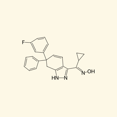 O/N=C(/c1n[nH]c2c1C=CC(c1ccccc1)(c1cccc(F)c1)C2)C1CC1